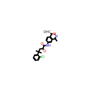 CC1=NOC(C=O)c2ccc(NC(=O)C(=O)CC(C)(C)c3ccccc3Cl)cc21